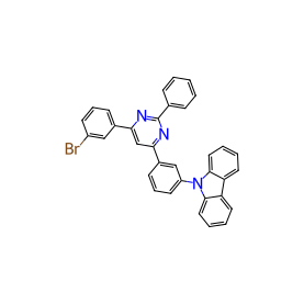 Brc1cccc(-c2cc(-c3cccc(-n4c5ccccc5c5ccccc54)c3)nc(-c3ccccc3)n2)c1